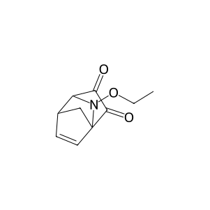 CCON1C2C(=O)C(=O)C13C=CC2C3